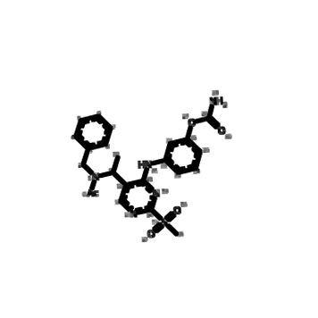 CC(=O)N(Cc1ccccc1)C(C)c1cnc(S(C)(=O)=O)nc1Nc1cccc(OC(N)=O)c1